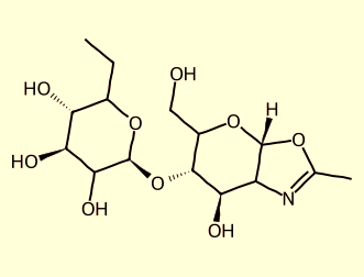 CCC1O[C@@H](O[C@@H]2C(CO)O[C@@H]3OC(C)=NC3[C@H]2O)C(O)[C@@H](O)[C@@H]1O